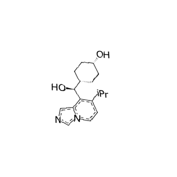 CC(C)c1ccn2cncc2c1[C@@H](O)[C@H]1CC[C@@H](O)CC1